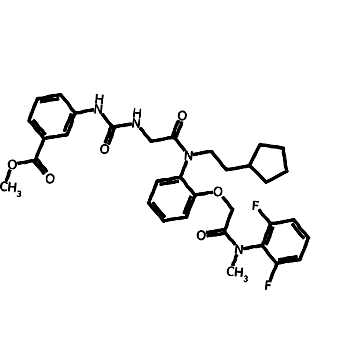 COC(=O)c1cccc(NC(=O)NCC(=O)N(CCC2CCCC2)c2ccccc2OCC(=O)N(C)c2c(F)cccc2F)c1